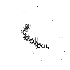 Cc1ccc2nc(-c3ccc(N4CCC(O[C@H]5CC[C@H](CC(=O)O)CC5)CC4)nc3)[nH]c2c1